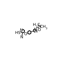 CN(C)C(=O)Cn1cc(-c2ccc(Oc3ccnc(S)c3C#N)cc2)cn1